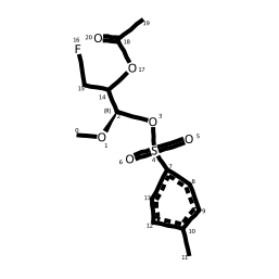 CO[C@H](OS(=O)(=O)c1ccc(C)cc1)C(CF)OC(C)=O